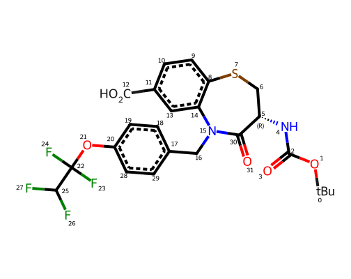 CC(C)(C)OC(=O)N[C@H]1CSc2ccc(C(=O)O)cc2N(Cc2ccc(OC(F)(F)C(F)F)cc2)C1=O